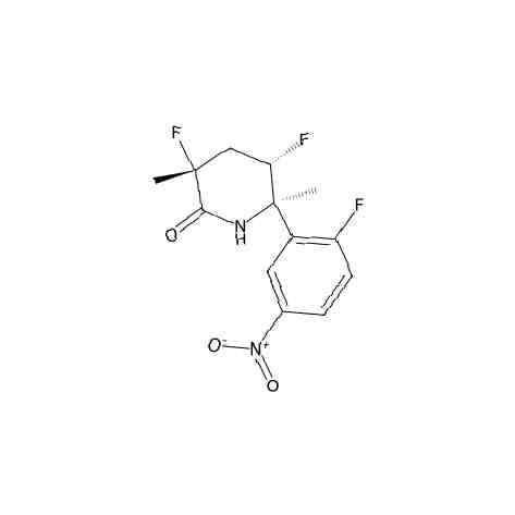 C[C@@]1(F)C[C@H](F)[C@@](C)(c2cc([N+](=O)[O-])ccc2F)NC1=O